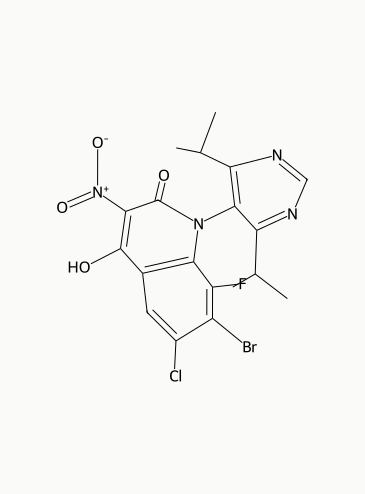 CC(C)c1ncnc(C(C)C)c1-n1c(=O)c([N+](=O)[O-])c(O)c2cc(Cl)c(Br)c(F)c21